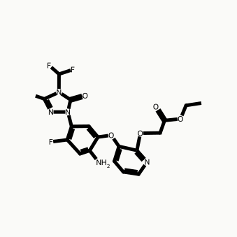 CCOC(=O)COc1ncccc1Oc1cc(-n2nc(C)n(C(F)F)c2=O)c(F)cc1N